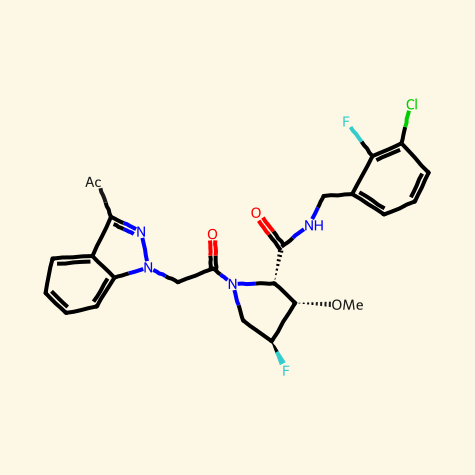 CO[C@H]1[C@@H](C(=O)NCc2cccc(Cl)c2F)N(C(=O)Cn2nc(C(C)=O)c3ccccc32)C[C@@H]1F